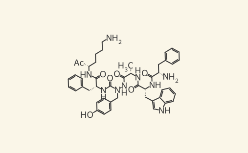 CC(=O)[C@H](CCCCN)NC(=O)[C@@H](Cc1ccccc1)NC(=O)N(Cc1ccc(O)cc1)NC(=O)[C@H](C)NC(=O)[C@@H](Cc1c[nH]c2ccccc12)NC(=O)[C@@H](N)Cc1ccccc1